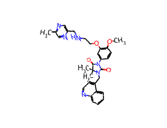 COc1ccc(N2C(=O)N(Cc3ccnc4ccccc34)C(C)(C)C2=O)cc1OCCNCc1cnc(C)cn1